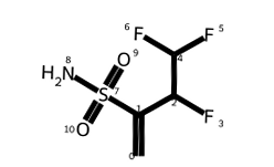 C=C(C(F)C(F)F)S(N)(=O)=O